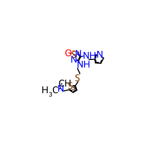 CN(C)Cc1ccc(CSCCNc2n[s+]([O-])nc2NCc2cccnc2)s1